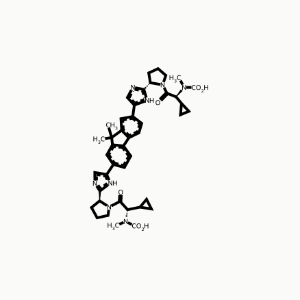 CN(C(=O)O)[C@H](C(=O)N1CCC[C@H]1c1ncc(-c2ccc3c(c2)C(C)(C)c2cc(-c4cnc([C@@H]5CCCN5C(=O)[C@H](C5CC5)N(C)C(=O)O)[nH]4)ccc2-3)[nH]1)C1CC1